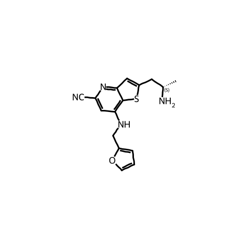 C[C@H](N)Cc1cc2nc(C#N)cc(NCc3ccco3)c2s1